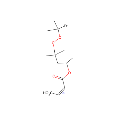 CCC(C)(C)OOC(C)(C)CC(C)OC(=O)/C=C\C(=O)O